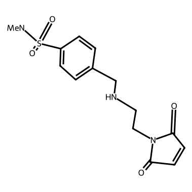 CNS(=O)(=O)c1ccc(CNCCN2C(=O)C=CC2=O)cc1